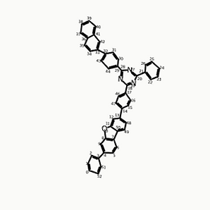 c1ccc(-c2ccc3c(c2)oc2cc(-c4ccc(-c5nc(-c6ccccc6)nc(-c6ccc(-c7ccc8ccccc8c7)cc6)n5)cc4)ccc23)cc1